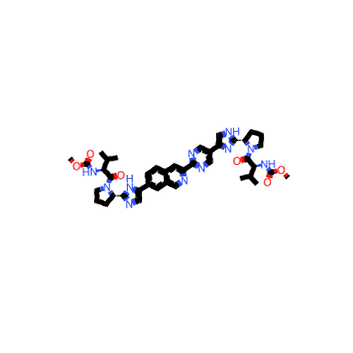 COC(=O)N[C@H](C(=O)N1CCC[C@H]1c1nc(-c2cnc(-c3cc4ccc(-c5cnc([C@@H]6CCCN6C(=O)[C@@H](NC(=O)OC)C(C)C)[nH]5)cc4cn3)nc2)c[nH]1)C(C)C